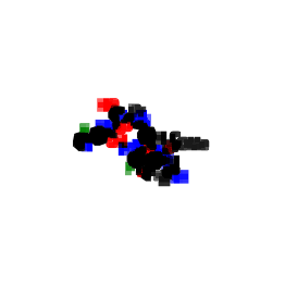 CO[C@@H](C)COc1nc(N2C[C@@H]3C[C@H]2CN3)c2cc(C3CC3)c(-c3c(C)c(F)cc4[nH]ncc34)c(OCc3ccc(-c4cn([C@H](C(=O)N5C[C@H](O)C[C@H]5C(=O)N[C@@H](CO)c5ccc(-c6ncccc6F)cc5)C(C)C)nn4)cc3)c2n1